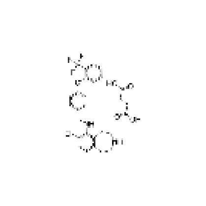 FC(F)(F)c1ccccc1Oc1ccc(CNc2c(Cl)ccc3c2CCNCC3)cc1.O=C(O)CCC(=O)O